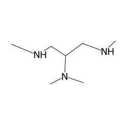 CNCC(CNC)N(C)C